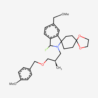 COCc1ccc2c(c1)C1(CCC3(CC1)OCCO3)N(C[C@@H](C)COCc1ccc(OC)cc1)C2F